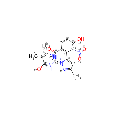 Cc1cc(-c2c(C(N)=O)ccc(O)c2[N+](=O)[O-])n(-c2nc(C)c(C)c(=O)[nH]2)n1